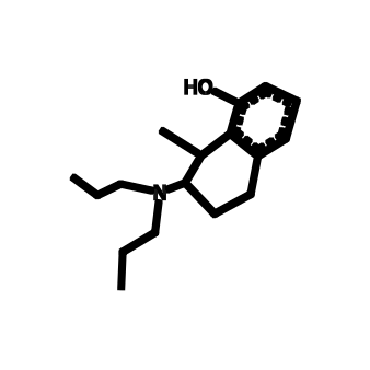 CCCN(CCC)C1CCc2cccc(O)c2C1C